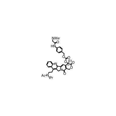 CC[C@@]1(OC(=O)OCc2ccc(NC(=O)CNC)cc2)C(=O)OCc2c1cc1n(c2=O)Cc2c-1nc1ccccc1c2CCN(C(C)=O)C(C)C